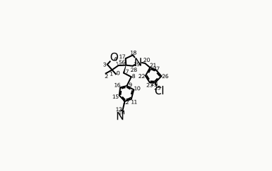 CC1(C)CO[C@@H]1[C@]1(CCc2ccc(C#N)cc2)CCN(Cc2ccc(Cl)cc2)C1